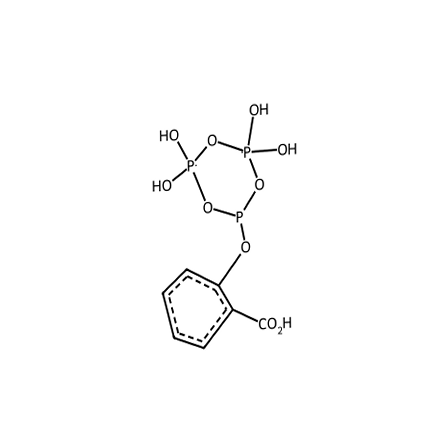 O=C(O)c1ccccc1OP1O[P](O)(O)O[P](O)(O)O1